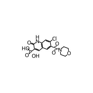 O=c1[nH]c2cc(Cl)c(S(=O)(=O)N3CCOCC3)cc2cc1P(=O)(O)O